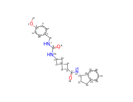 COc1ccc(CNC(=O)NC2CC3(C2)CC(C(=O)N[C@H]2CCc4ccccc42)C3)cc1